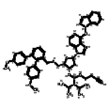 COc1ccc(-c2cccc(COC[C@H]3O[C@@H](n4cnc5c(On6nnc7ccccc76)ncnc54)C[C@@H]3OP(OCCC#N)N(C(C)C)C(C)C)c2-c2ccc(OC)cc2)cc1